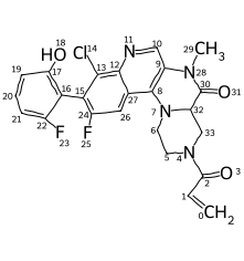 C=CC(=O)N1CCN2c3c(cnc4c(Cl)c(-c5c(O)cccc5F)c(F)cc34)N(C)C(=O)C2C1